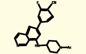 CC(=O)N1CCC(Nc2cc(-c3ccc(C#N)c(F)c3)cc3ccncc23)CC1